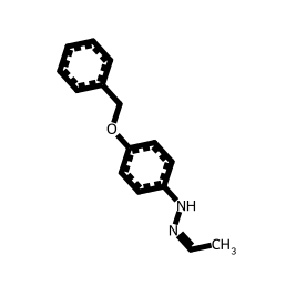 C/C=N\Nc1ccc(OCc2ccccc2)cc1